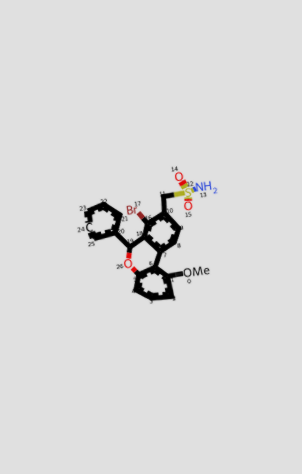 COc1cccc2c1-c1ccc(CS(N)(=O)=O)c(Br)c1C(c1ccccc1)O2